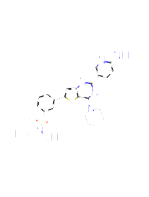 CN(C)S(=O)(=O)c1cccc(-c2cc3nc(-c4ccc(N)nc4)nc(N4CCOCC4)c3s2)c1